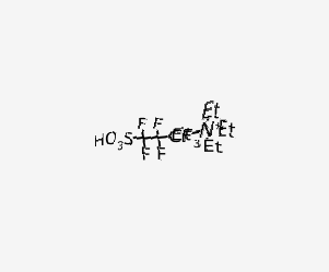 CC[N+](CC)(CC)CC.O=S(=O)(O)C(F)(F)C(F)(F)C(F)(F)F